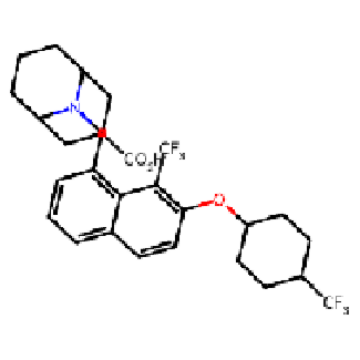 O=C(O)C1CC2CCCC(C1)N2Cc1cccc2ccc(OC3CCC(C(F)(F)F)CC3)c(C(F)(F)F)c12